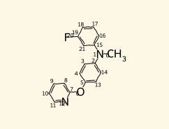 CN(c1ccc(Oc2ccccn2)cc1)c1cccc(F)c1